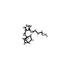 C=CCCOc1nsnc1OC12CCC(CC1)C2